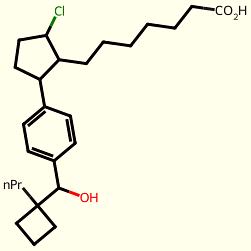 CCCC1(C(O)c2ccc(C3CCC(Cl)C3CCCCCCC(=O)O)cc2)CCC1